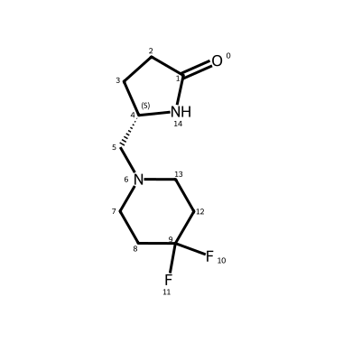 O=C1CC[C@@H](CN2CCC(F)(F)CC2)N1